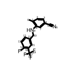 Cc1ccc(C#N)cc1NCc1ccc(F)c(C(F)(F)F)c1